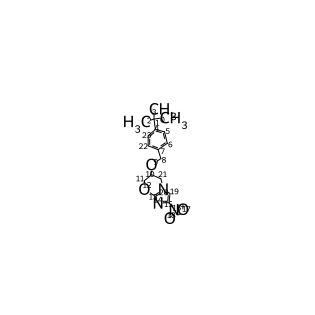 CC(C)(C)c1ccc(CO[C@@H]2COc3nc([N+](=O)[O-])cn3C2)cc1